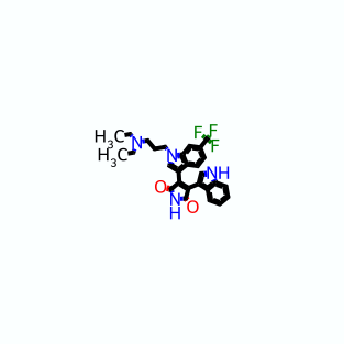 CCN(CC)CCCn1cc(C2=C(c3c[nH]c4ccccc34)C(=O)NC2=O)c2ccc(C(F)(F)F)cc21